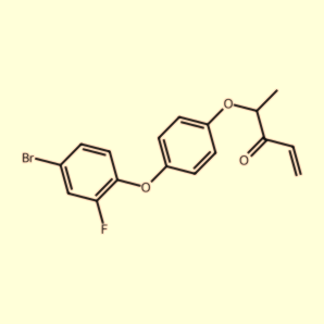 C=CC(=O)C(C)Oc1ccc(Oc2ccc(Br)cc2F)cc1